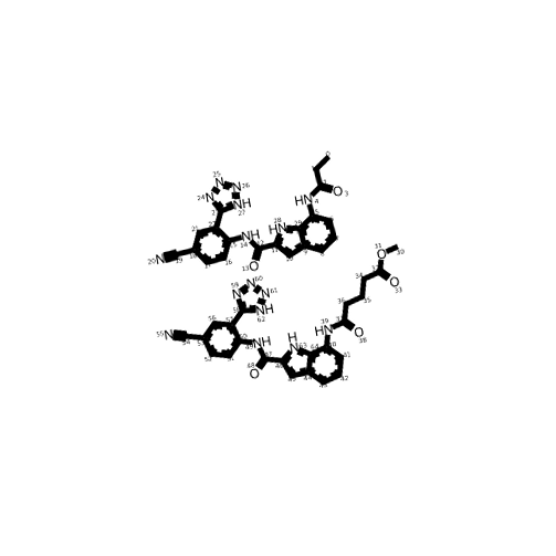 CCC(=O)Nc1cccc2cc(C(=O)Nc3ccc(C#N)cc3-c3nnn[nH]3)[nH]c12.COC(=O)CCCC(=O)Nc1cccc2cc(C(=O)Nc3ccc(C#N)cc3-c3nnn[nH]3)[nH]c12